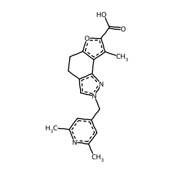 Cc1cc(Cn2cc3c(n2)-c2c(oc(C(=O)O)c2C)CC3)cc(C)n1